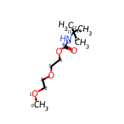 COCCOCCOC(=O)NC(C)(C)C